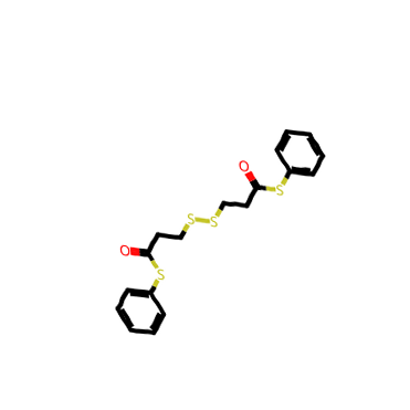 O=C(CCSSCCC(=O)Sc1ccccc1)Sc1ccccc1